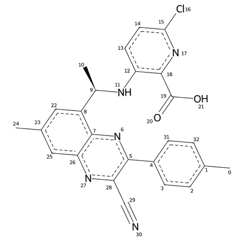 Cc1ccc(-c2nc3c([C@@H](C)Nc4ccc(Cl)nc4C(=O)O)cc(C)cc3nc2C#N)cc1